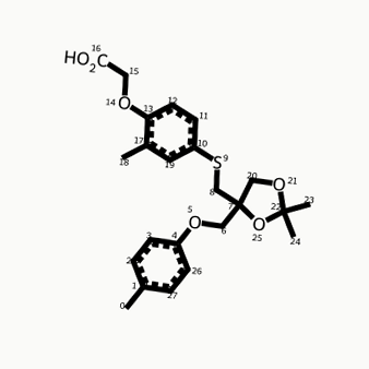 Cc1ccc(OCC2(CSc3ccc(OCC(=O)O)c(C)c3)COC(C)(C)O2)cc1